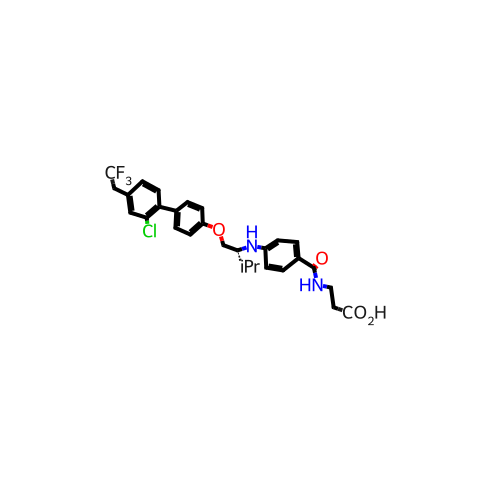 CC(C)[C@H](COc1ccc(-c2ccc(CC(F)(F)F)cc2Cl)cc1)Nc1ccc(C(=O)NCCC(=O)O)cc1